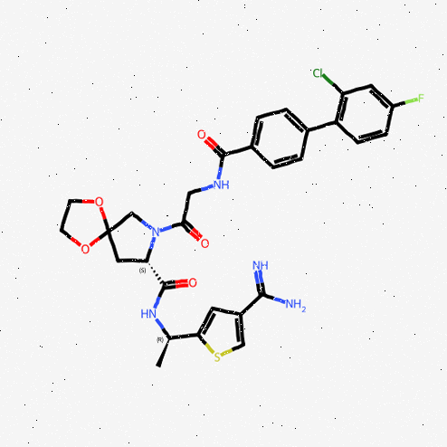 C[C@@H](NC(=O)[C@@H]1CC2(CN1C(=O)CNC(=O)c1ccc(-c3ccc(F)cc3Cl)cc1)OCCO2)c1cc(C(=N)N)cs1